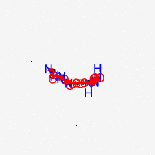 Cc1nn(C2CCC(=O)NC2=O)c(=O)c2ccc(NCCOCCOCCOCCOCC(=O)N3CCC(COc4cnc(-c5cccc(Cn6nc(-c7cccc(C#N)c7)ccc6=O)c5)nc4)CC3)cc12